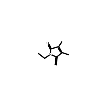 C=C1C(C)=C(C)C(=O)N1CC